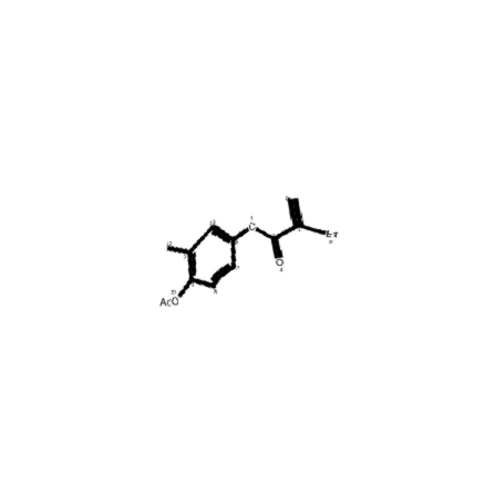 C=C(CC)C(=O)Oc1ccc(OC(C)=O)c(C)c1